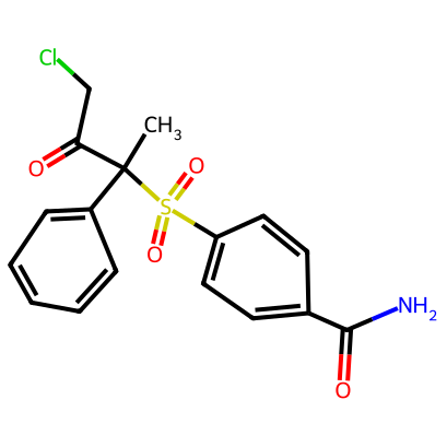 CC(C(=O)CCl)(c1ccccc1)S(=O)(=O)c1ccc(C(N)=O)cc1